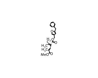 COC(=O)/C(C)=C/[C@@H]1[C@@H](C(=O)OCc2coc(Cc3ccccc3)c2)C1(C)C